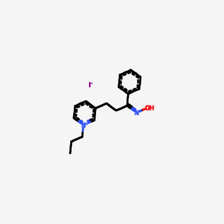 CCC[n+]1cccc(CC/C(=N/O)c2ccccc2)c1.[I-]